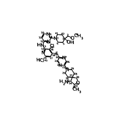 COCC1(O)CCN(c2nccc(Nc3nccc(Sc4cnc(N5CCC6(CC5)CO[C@@H](C)[C@H]6N)cn4)c3Cl)n2)CC1.Cl